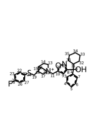 OC(c1ccccc1)(c1cc(C[N+]23CCC(CC2)C(CSc2ccc(F)cc2)C3)on1)C1CCCCC1